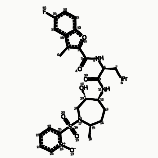 Cc1c(C(=O)N[C@@H](CC(C)C)C(=O)N[C@H]2CC[C@@H](C)N(S(=O)(=O)c3cccc[n+]3[O-])C[C@@H]2O)oc2ccc(F)cc12